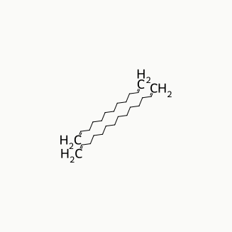 C=CCCCCCCCCC=C.C=CCCCCCCCCCCC=C